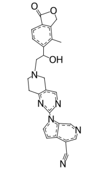 Cc1c(C(O)CN2CCc3nc(-n4ccc5c(C#N)cncc54)ncc3C2)ccc2c1COC2=O